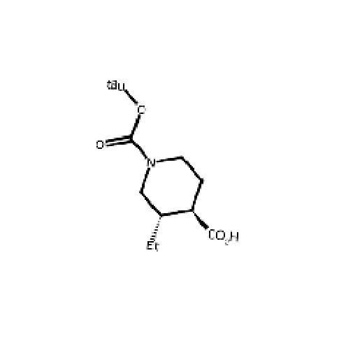 CC[C@@H]1CN(C(=O)OC(C)(C)C)CC[C@H]1C(=O)O